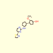 COc1cc(O)ccc1-c1cccc(Nc2nccc(-c3nccs3)n2)c1